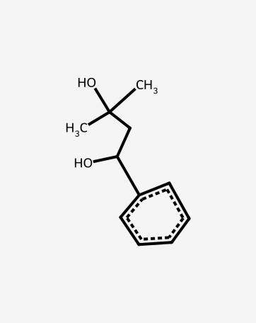 CC(C)(O)CC(O)c1ccccc1